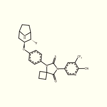 N#Cc1ncc(N2C(=O)C3(CCC3)N(c3ccc(O[C@H]4CC5CCC(N5)[C@@H]4F)cc3)C2=S)cc1C(F)(F)F